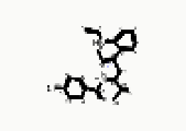 C=CNc1ccccc1/C(=C\C)CC(NC(=C)c1ccc(Cl)cc1)C(=C)C